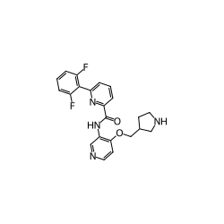 O=C(Nc1cnccc1OCC1CCNC1)c1cccc(-c2c(F)cccc2F)n1